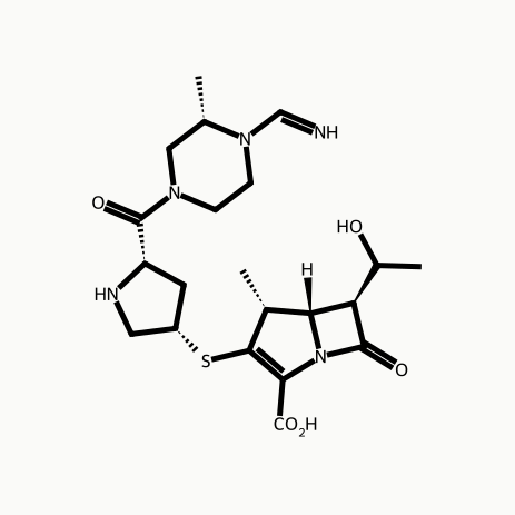 CC(O)[C@H]1C(=O)N2C(C(=O)O)=C(S[C@@H]3CN[C@H](C(=O)N4CCN(C=N)[C@@H](C)C4)C3)[C@H](C)[C@H]12